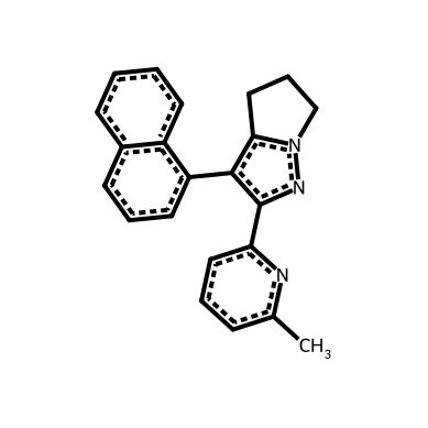 Cc1cccc(-c2nn3c(c2-c2cccc4ccccc24)CCC3)n1